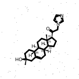 C[C@@]1(O)CC[C@H]2C(=CC[C@@H]3[C@@H]2CC[C@]2(C)[C@@H](C(=O)Cn4ccnc4)CC[C@@H]32)C1